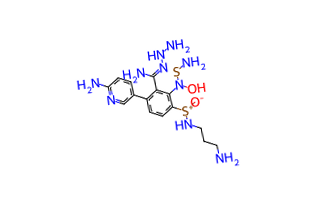 NCCCN[S+]([O-])c1ccc(-c2ccc(N)nc2)c(/C(N)=N/NN)c1N(O)SN